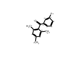 Cc1cc(C)c(C(=O)c2cccc(F)c2)c(C)c1